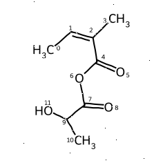 CC=C(C)C(=O)OC(=O)C(C)O